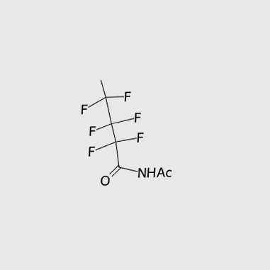 CC(=O)NC(=O)C(F)(F)C(F)(F)C(C)(F)F